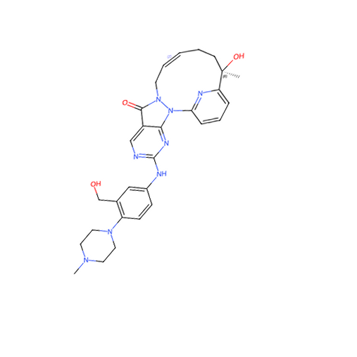 CN1CCN(c2ccc(Nc3ncc4c(=O)n5n(c4n3)-c3cccc(n3)[C@](C)(O)CC/C=C\C5)cc2CO)CC1